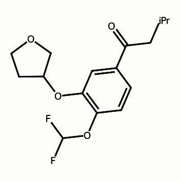 CC(C)CC(=O)c1ccc(OC(F)F)c(OC2CCOC2)c1